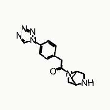 O=C(Cc1ccc(-n2cnnn2)cc1)N1CC2CC1CN2